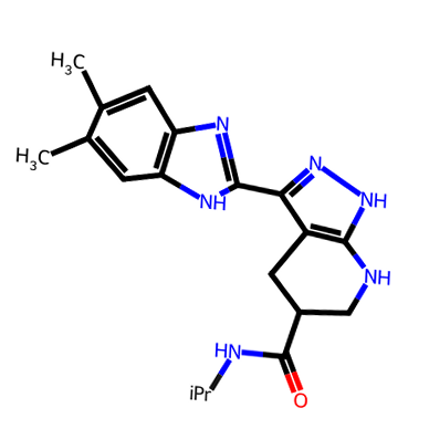 Cc1cc2nc(-c3n[nH]c4c3CC(C(=O)NC(C)C)CN4)[nH]c2cc1C